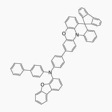 c1ccc(-c2ccc(N(c3ccc(-c4ccc5c(c4)Oc4cccc6c4N5c4ccccc4C64c5ccccc5-c5ccccc54)cc3)c3cccc4c3oc3ccccc34)cc2)cc1